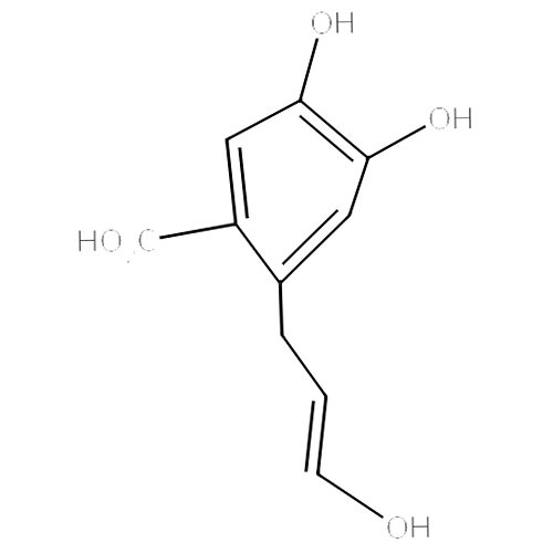 O=C(O)c1cc(O)c(O)cc1CC=CO